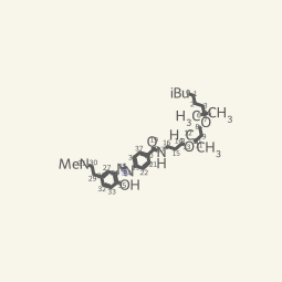 CCC(C)CCCC(C)(C)OCCC(C)(C)OCCCNC(=O)c1ccc(/N=N/c2cc(CCNC)ccc2O)cc1